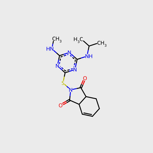 CNc1nc(NC(C)C)nc(SN2C(=O)C3C=CCCC3C2=O)n1